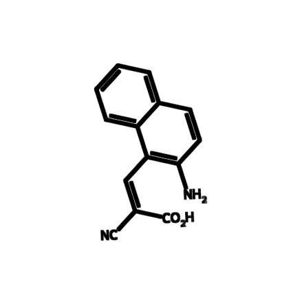 N#CC(=Cc1c(N)ccc2ccccc12)C(=O)O